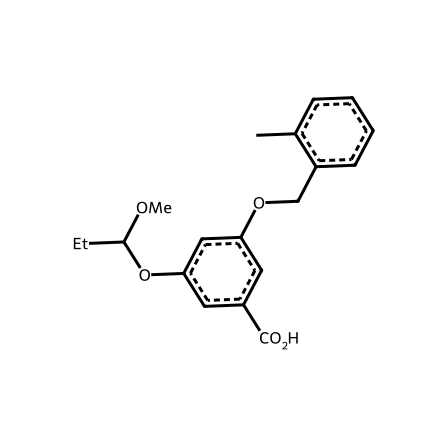 CCC(OC)Oc1cc(OCc2ccccc2C)cc(C(=O)O)c1